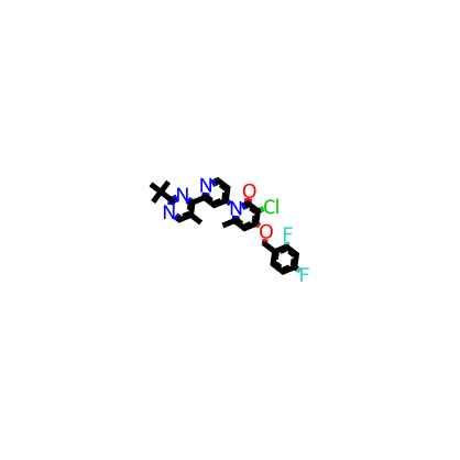 Cc1cnc(C(C)(C)C)nc1-c1cc(-n2c(C)cc(OCc3ccc(F)cc3F)c(Cl)c2=O)ccn1